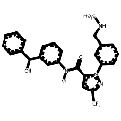 O=C(O)NCc1cccc(-n2nc(C(F)(F)F)cc2C(=O)N(Cl)c2cccc(C(O)c3ccccc3)c2)c1